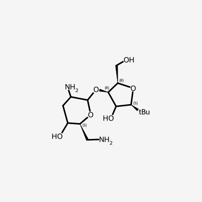 CC(C)(C)[C@@H]1O[C@H](CO)[C@H](OC2O[C@@H](CN)C(O)CC2N)C1O